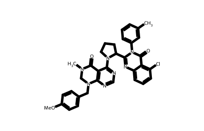 COc1ccc(CN2CN(C)C(=O)c3c2ncnc3N2CCCC2c2nc3cccc(Cl)c3c(=O)n2-c2cccc(C)c2)cc1